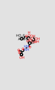 CC[C@@H]1CC(C(=O)NCCNC(=O)Cc2cc(=O)oc3cc(O)ccc23)C[C@@H](O[C@@H]2O[C@@H](CO)[C@H](O)C(O[C@@H](CC3CCCCC3)C(=O)O)C2NC(C)=O)C1OC1O[C@@H](C)C(O)[C@H](O)[C@@H]1O